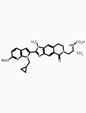 COc1ccc2cc(-c3nc4cc5c(cc4n3C)CCN(C[C@@H](C)NC(=O)O)C5=O)n(CC3CC3)c2n1